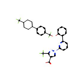 O=C(O)c1cn(-c2cccc(-c3ccccc3OC(F)(F)c3ccc(C4CCC(C(F)(F)F)CC4)cc3)n2)nc1C(F)(F)F